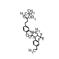 C=Cc1ccc([C@@H](C(=O)Nc2cc(CCC(=O)OC(C)(C)C)ccc2Cl)C(C)C(F)(F)F)cc1